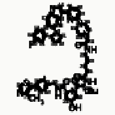 Cc1ncsc1-c1ccc(CNC(=O)[C@@H]2C[C@@H](O)CN2C(=O)[C@@H](NC(=O)CCCCNC(=O)CN2CCN(c3cccc(-c4cnc5ccc(N6CCC[C@@H]6c6cccc(F)c6)nn45)n3)CC2)C(C)(C)C)cc1